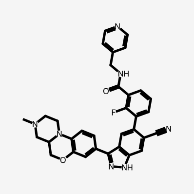 CN1CCN2c3ccc(-c4n[nH]c5cc(C#N)c(-c6cccc(C(=O)NCc7ccncc7)c6F)cc45)cc3OCC2C1